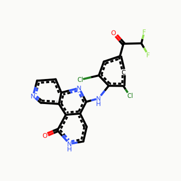 O=C(c1cc(Cl)c(Nc2nc3ccncc3c3c(=O)[nH]ccc23)c(Cl)c1)C(F)F